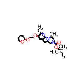 Cc1nc2c(cc1OCCOC1CCCCO1)CC1CN(C(=O)OC(C)(C)C)C[C@@H](C)N21